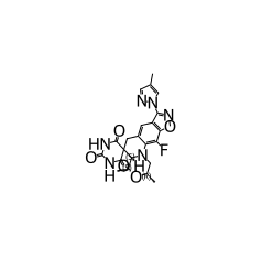 Cc1cnn(-c2noc3c(F)c4c(cc23)CC2(C(=O)NC(=O)NC2=O)[C@H]2[C@H](C)O[C@H](C)CN42)c1